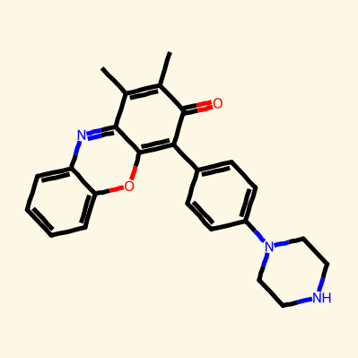 Cc1c2nc3ccccc3oc-2c(-c2ccc(N3CCNCC3)cc2)c(=O)c1C